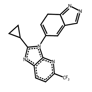 FC(F)(F)c1ccc2nc(C3CC3)n(C3=CCC4=NN=CC4=C3)c2n1